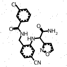 N#Cc1ccc(CNC(=O)c2cccc(Cl)c2)c(NC(C(N)=O)c2ccon2)c1